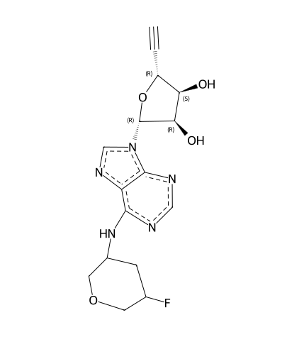 C#C[C@H]1O[C@@H](n2cnc3c(NC4COCC(F)C4)ncnc32)[C@H](O)[C@@H]1O